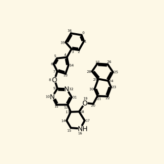 c1ccc(-c2ccc(Oc3ncc(C4CCNCC4OCc4ccc5ccccc5c4)cn3)cc2)cc1